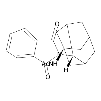 CC(=O)N[C@]12CC3CC(C1)[C@@H](N1C(=O)c4ccccc4C1=O)C(C3)C2